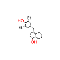 CCc1cc(Cc2ccc(O)c3ccccc23)cc(CC)c1O